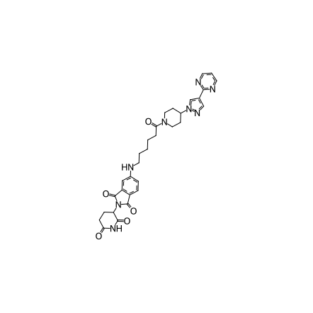 O=C1CCC(N2C(=O)c3ccc(NCCCCCC(=O)N4CCC(n5cc(-c6ncccn6)cn5)CC4)cc3C2=O)C(=O)N1